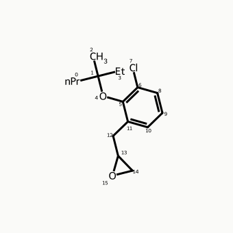 CCCC(C)(CC)Oc1c(Cl)cccc1CC1CO1